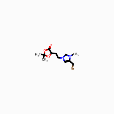 CN1CN(CCC2OC(C)(C)OC2=O)C=C1CBr